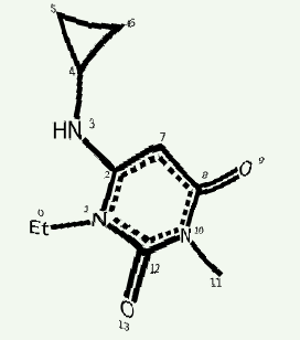 CCn1c(NC2CC2)cc(=O)n(C)c1=O